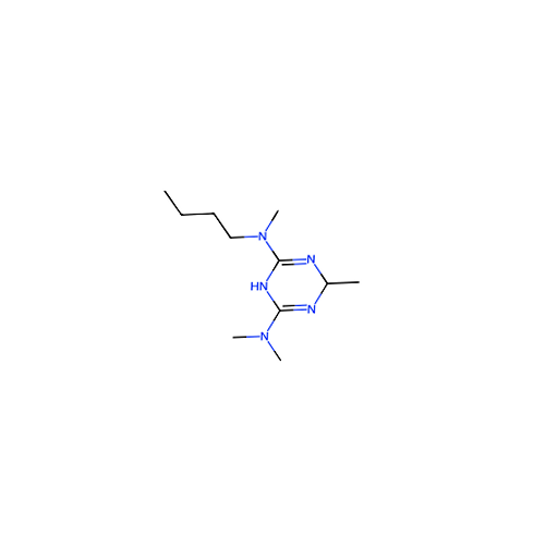 CCCCN(C)C1=NC(C)N=C(N(C)C)N1